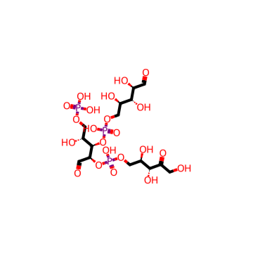 O=C[C@H](OP(=O)(O)OC[C@@H](O)[C@@H](O)C(=O)CO)[C@H](OP(=O)(O)OC[C@@H](O)[C@@H](O)[C@@H](O)C=O)[C@H](O)COP(=O)(O)O